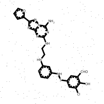 Nc1nc(NCCNc2cccc(NSc3cc(Cl)c(O)c(C=O)c3)c2)nc2nc(-c3ccco3)nn12